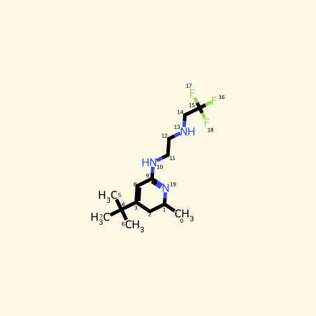 CC1CC(C(C)(C)C)=CC(NCCNCC(F)(F)F)=N1